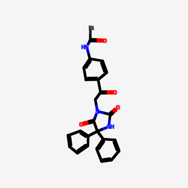 CCC(=O)Nc1ccc(C(=O)CN2C(=O)NC(c3ccccc3)(c3ccccc3)C2=O)cc1